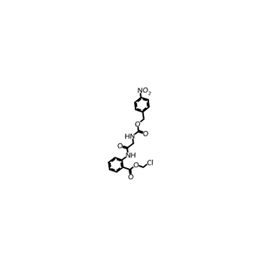 O=C(CNC(=O)OCc1ccc([N+](=O)[O-])cc1)Nc1ccccc1C(=O)OCCl